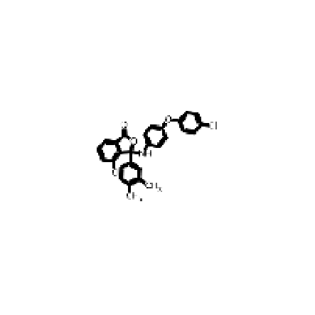 Cc1ccc(C2(Nc3ccc(Oc4ccc(Cl)cc4)cc3)OC(=O)c3cccc(Cl)c32)cc1C